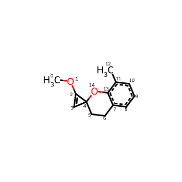 COC1=CC12CCc1cccc(C)c1O2